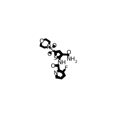 NC(=O)c1cc(S(=O)(=O)N2CCOCC2)sc1NC(=O)c1ncccc1F